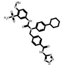 CCCCOc1ccc(NC(=O)N(Cc2ccc(C(=O)Nc3nn[nH]n3)cc2)c2ccc(C3CCCCC3)cc2)cc1S(C)(=O)=O